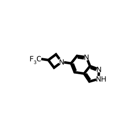 FC(F)(F)C1CN(c2cnc3n[nH]cc3c2)C1